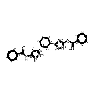 O=C(Nc1nnc([C@@H]2CCC[C@@H](c3nnc(NC(=O)c4ccccc4)s3)C2)s1)c1ccccc1